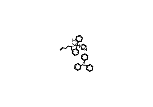 C=CCCC(C)[SiH2]C(c1ccccc1)(c1ccccc1)n1ccnc1.c1ccc(B(c2ccccc2)c2ccccc2)cc1